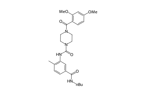 CCCCNC(=O)c1ccc(C)c(NC(=O)N2CCN(C(=O)c3ccc(OC)cc3OC)CC2)c1